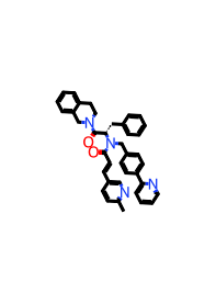 Cc1ccc(C=CC(=O)N(Cc2ccc(-c3ccccn3)cc2)[C@@H](Cc2ccccc2)C(=O)N2CCc3ccccc3C2)cn1